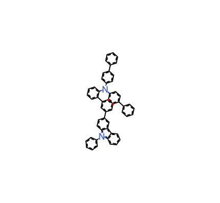 c1ccc(-c2ccc(N(c3ccc(-c4ccccc4)cc3)c3ccccc3-c3cccc(-c4ccc5c(c4)c4ccccc4n5-c4ccccc4)c3)cc2)cc1